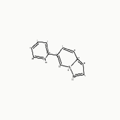 c1ccc(-c2ccc3ccnn3c2)nc1